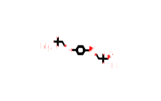 O=C(OCCC(CO)(CO)CO)c1ccc(C(=O)OCCC(CO)(CO)CO)cc1